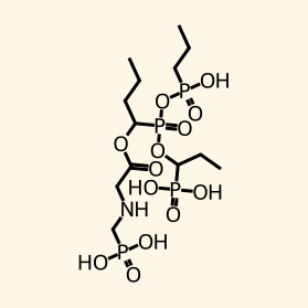 CCCC(OC(=O)CNCP(=O)(O)O)P(=O)(OC(CC)P(=O)(O)O)OP(=O)(O)CCC